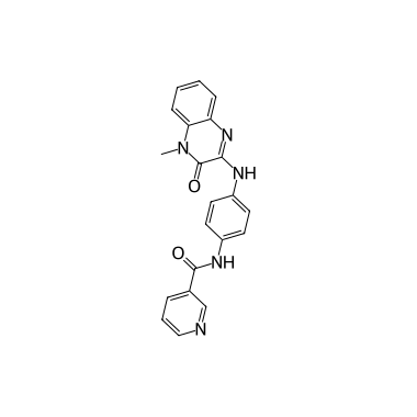 Cn1c(=O)c(Nc2ccc(NC(=O)c3cccnc3)cc2)nc2ccccc21